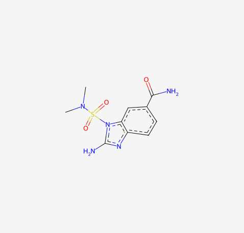 CN(C)S(=O)(=O)n1c(N)nc2ccc(C(N)=O)cc21